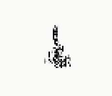 CN1CCN(c2ccc3cc(/C=C(\C#N)S(=O)(=O)NC[C@H]4OC(O)[C@H](O)[C@@H](O)[C@@H]4O)ccc3c2)CC1